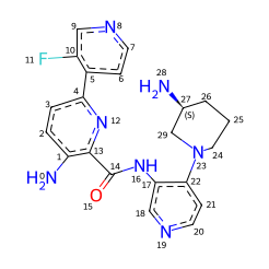 Nc1ccc(-c2ccncc2F)nc1C(=O)Nc1cnccc1N1CCC[C@H](N)C1